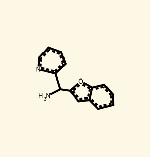 NC(c1ccccn1)c1cc2ccccc2o1